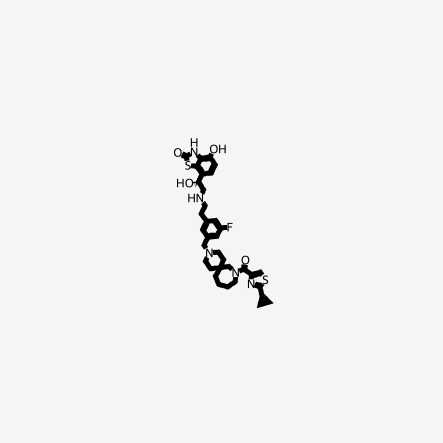 O=C(c1csc(C2CC2)n1)N1CCCCC2(CCN(Cc3cc(F)cc(CCNC[C@H](O)c4ccc(O)c5[nH]c(=O)sc45)c3)CC2)C1